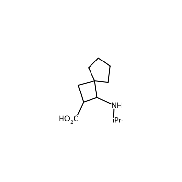 C[C](C)NC1C(C(=O)O)CC12CCCC2